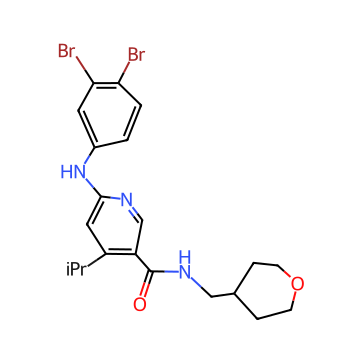 CC(C)c1cc(Nc2ccc(Br)c(Br)c2)ncc1C(=O)NCC1CCOCC1